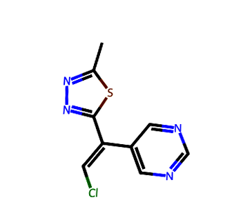 Cc1nnc(/C(=C/Cl)c2cncnc2)s1